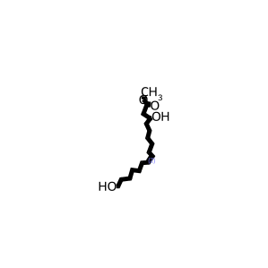 COC(=O)CC(O)CCCCC/C=C\CCCCCCO